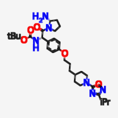 CC(C)c1noc(N2CCC(CCCOc3ccc([C@H](NC(=O)OC(C)(C)C)C(=O)N4CCC[C@H]4N)cc3)CC2)n1